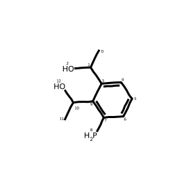 CC(O)c1cccc(P)c1C(C)O